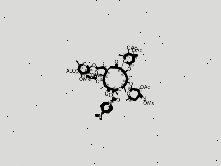 CON=C1C[C@@H](C)O[C@@H](O[C@@H]2[C@@H](C)[C@H](O[C@H]3C[C@@](C)(OC(C)=O)[C@@H](OC(C)=O)[C@H](C)O3)[C@@H](C)C(=O)C[C@H]([C@@H](C)CO[C@@H]3O[C@H](C)[C@@H](OC(C)=O)[C@@H](OC)[C@H]3OC)[C@H](C)[C@@H](OC(=O)CC(C)C)[C@@H](C)C(=O)[C@@](C)(OC(=O)[n+]3ccc(N(C)C)cc3)C[C@@H]2C)[C@@H]1OC(C)=O